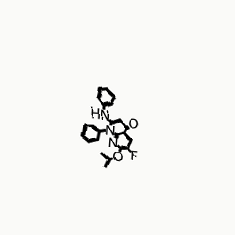 CC(C)Oc1nc2c(cc1F)c(=O)cc(Nc1ccccc1)n2-c1ccccc1